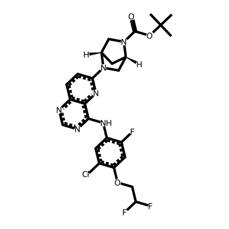 CC(C)(C)OC(=O)N1C[C@@H]2C[C@H]1CN2c1ccc2ncnc(Nc3cc(Cl)c(OCC(F)F)cc3F)c2n1